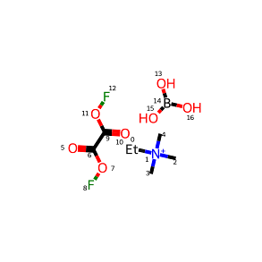 CC[N+](C)(C)C.O=C(OF)C(=O)OF.OB(O)O